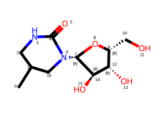 CC1CNC(=O)N([C@@H]2O[C@H](CO)[C@H](O)[C@H]2O)C1